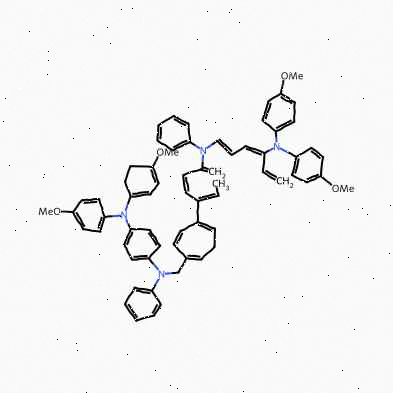 C=C/C(=C\C=C\N(C(=C)/C=C\C(=C/C)C1=CCC=C(CN(c2ccccc2)c2ccc(N(C3=CC=C(OC)CC3)c3ccc(OC)cc3)cc2)C=C1)c1ccccc1)N(c1ccc(OC)cc1)c1ccc(OC)cc1